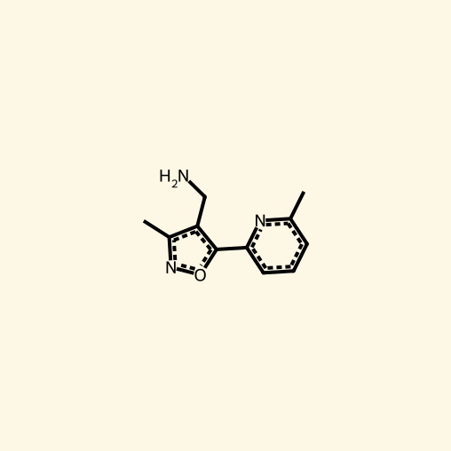 Cc1cccc(-c2onc(C)c2CN)n1